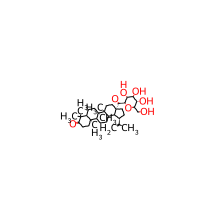 C=C(C)[C@@H]1CC[C@]2(C(=O)[C@@H]3OC(CO)[C@@H](O)C(O)C3O)CC[C@]3(C)C(CCC4[C@@]5(C)CCC(=O)C(C)(C)C5CC[C@]43C)C12